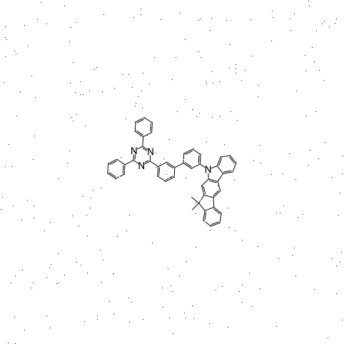 CC1(C)c2ccccc2-c2cc3c4ccccc4n(-c4cccc(-c5cccc(-c6nc(-c7ccccc7)nc(-c7ccccc7)n6)c5)c4)c3cc21